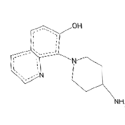 NC1CCN(c2c(O)ccc3cccnc23)CC1